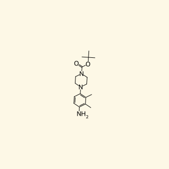 Cc1c(N)ccc(N2CCN(C(=O)OC(C)(C)C)CC2)c1C